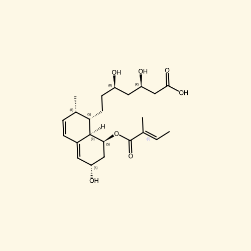 C/C=C(\C)C(=O)O[C@H]1C[C@H](O)C=C2C=C[C@H](C)[C@H](CC[C@@H](O)C[C@@H](O)CC(=O)O)[C@H]21